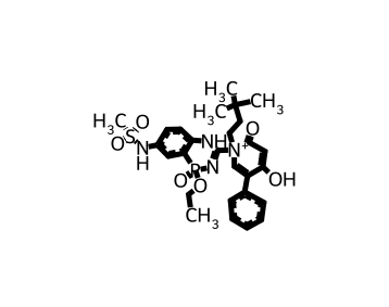 CCOP1(=O)N=C([N+]2(CCC(C)(C)C)C=C(c3ccccc3)C(O)=CC2=O)Nc2ccc(NS(C)(=O)=O)cc21